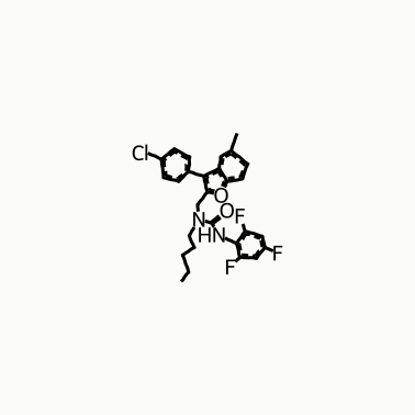 CCCCCN(Cc1oc2ccc(C)cc2c1-c1ccc(Cl)cc1)C(=O)Nc1c(F)cc(F)cc1F